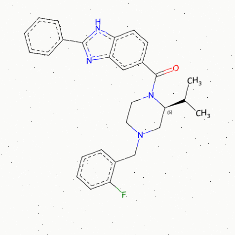 CC(C)[C@H]1CN(Cc2ccccc2F)CCN1C(=O)c1ccc2[nH]c(-c3ccccc3)nc2c1